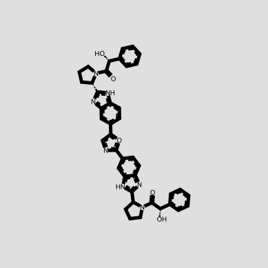 O=C([C@@H](O)c1ccccc1)N1CCCC1c1nc2ccc(-c3ncc(-c4ccc5[nH]c([C@@H]6CCCN6C(=O)[C@H](O)c6ccccc6)nc5c4)o3)cc2[nH]1